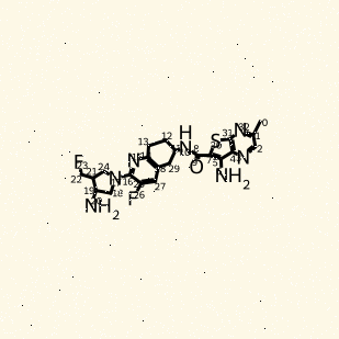 Cc1cnc2c(N)c(C(=O)NC3CCc4nc(N5CC(N)C(CF)C5)c(F)cc4C3)sc2n1